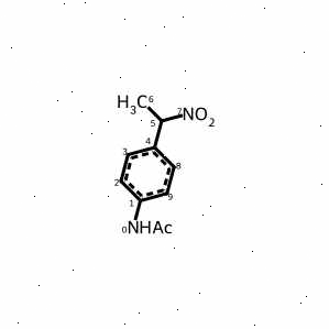 CC(=O)Nc1ccc(C(C)[N+](=O)[O-])cc1